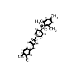 Cc1cc(C)c(S(=O)(=O)C2CCN(c3nc(Cc4ccc(Cl)c(Cl)c4)cs3)CC2)c(C)c1